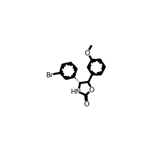 COc1cccc(C2OC(=O)N[C@@H]2c2cccc(Br)c2)c1